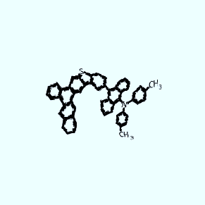 Cc1ccc(N(c2ccc(C)cc2)c2c3ccccc3c(-c3ccc4sc5cc6c7ccccc7c7cc8ccccc8cc7c6cc5c4c3)c3ccccc23)cc1